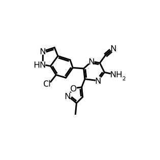 Cc1cc(-c2nc(N)c(C#N)nc2-c2cc(Cl)c3[nH]ncc3c2)on1